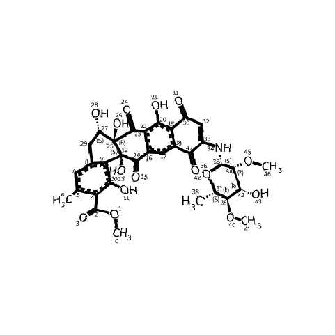 COC(=O)c1c(C)cc2c(c1O)[C@@]1(O)C(=O)c3cc4c(c(O)c3C(=O)[C@@]1(O)[C@@H](O)C2)C(=O)C=C(N[C@H]1O[C@@H](C)[C@H](OC)[C@@H](O)[C@H]1OC)C4=O